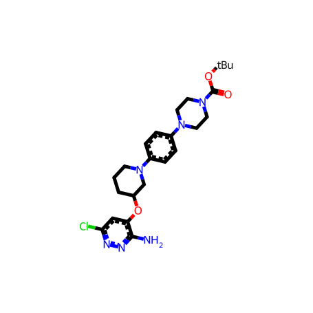 CC(C)(C)OC(=O)N1CCN(c2ccc(N3CCCC(Oc4cc(Cl)nnc4N)C3)cc2)CC1